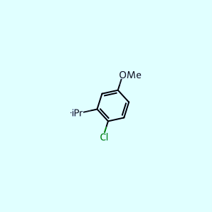 COc1ccc(Cl)c([C](C)C)c1